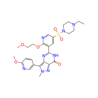 CCN1CCN(S(=O)(=O)c2cnc(OCCOC)c(-c3nc4c(-c5ccc(OC)nc5)n(C)nc4c(=O)[nH]3)c2)CC1